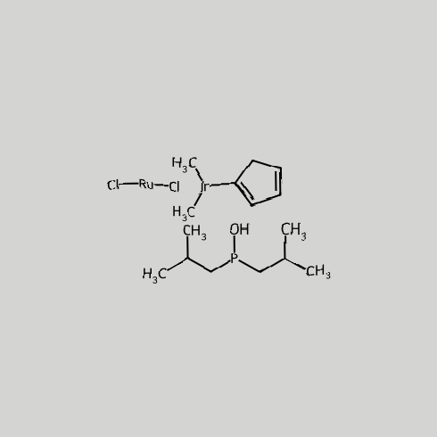 CC(C)CP(O)CC(C)C.[CH3][Ir]([CH3])[C]1=CC=CC1.[Cl][Ru][Cl]